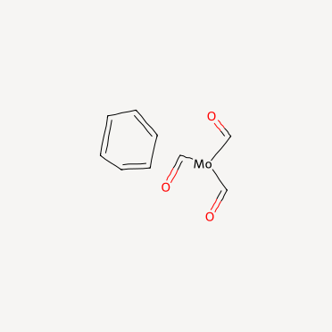 O=[CH][Mo]([CH]=O)[CH]=O.c1ccccc1